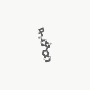 FC1(CNc2ncc3c(-c4ccc5nccnc5c4)c[nH]c3n2)CCC1